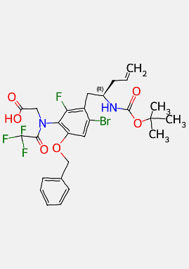 C=CC[C@H](Cc1c(Br)cc(OCc2ccccc2)c(N(CC(=O)O)C(=O)C(F)(F)F)c1F)NC(=O)OC(C)(C)C